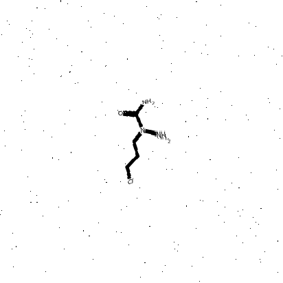 NC(=O)N(N)CCCCl